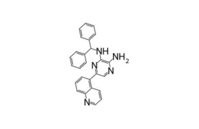 Nc1ncc(-c2cccc3ncccc23)nc1NC(c1ccccc1)c1ccccc1